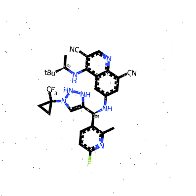 Cc1nc(F)ccc1[C@H](Nc1cc(C#N)c2ncc(C#N)c(N[C@H](C)C(C)(C)C)c2c1)C1=CN(C2(C(F)(F)F)CC2)NN1